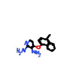 Cc1ccc(Oc2ccnc(N)c2N)c2ccccc12